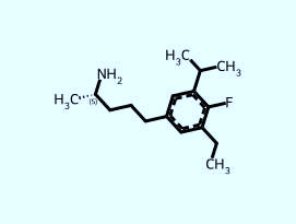 CCc1cc(CCC[C@H](C)N)cc(C(C)C)c1F